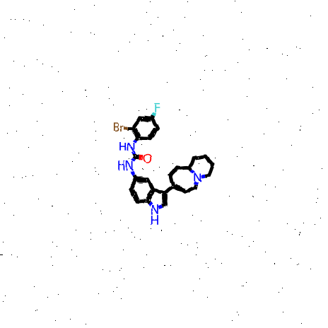 O=C(Nc1ccc2[nH]cc(C3=CCN4CCCCC4CC3)c2c1)Nc1ccc(F)cc1Br